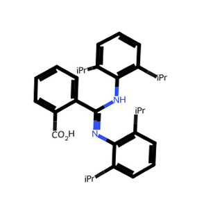 CC(C)c1cccc(C(C)C)c1N=C(Nc1c(C(C)C)cccc1C(C)C)c1ccccc1C(=O)O